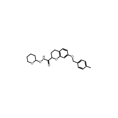 Cc1ccc(COc2ccc3c(c2)OC(C(=O)NOC2CCCCO2)CC3)cc1